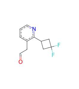 O=CCc1cccnc1C1CC(F)(F)C1